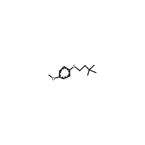 COc1ccc(SCCC(C)(C)C)cc1